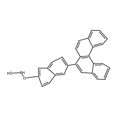 OBOc1ccc2cc(-c3cc4ccccc4c4c3ccc3ccccc34)ccc2c1